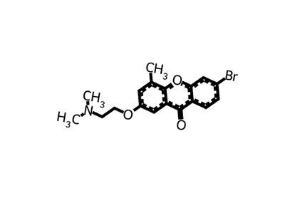 Cc1cc(OCCN(C)C)cc2c(=O)c3ccc(Br)cc3oc12